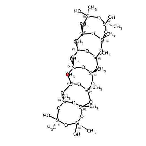 C[Si@]1(O)O[Si@@](C)(O)O[Si@@]2(C)O[Si@@](C)(O1)O[Si@@]1(C)O[Si@@](C)(O2)O[Si@]2(C)O[Si@@]3(C)O[Si@]4(C)O[Si@@](C)(O)O[Si@@](C)(O)O[Si@@](C)(O4)O[Si@](C)(O3)O[Si@](C)(O1)O2